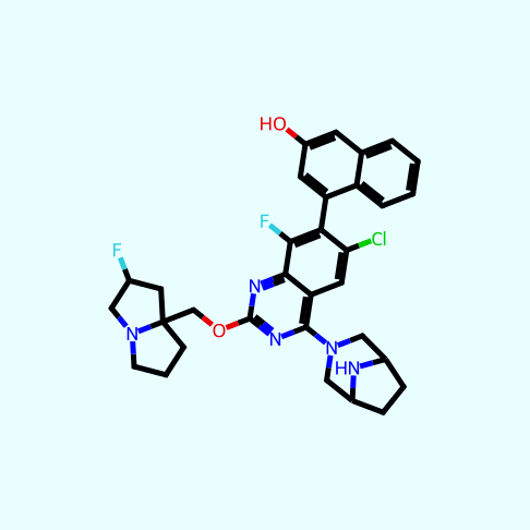 Oc1cc(-c2c(Cl)cc3c(N4CC5CCC(C4)N5)nc(OCC45CCCN4CC(F)C5)nc3c2F)c2ccccc2c1